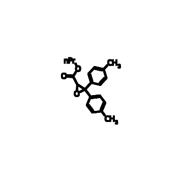 CCCOC(=O)C1OC1(c1ccc(C)cc1)c1ccc(C)cc1